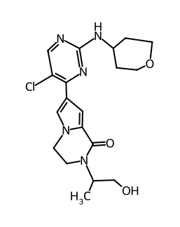 CC(CO)N1CCn2cc(-c3nc(NC4CCOCC4)ncc3Cl)cc2C1=O